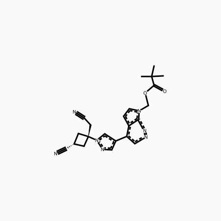 CC(C)(C)C(=O)OCn1ccc2c(-c3cnn([C@]4(CC#N)C[C@H](C#N)C4)c3)cnnc21